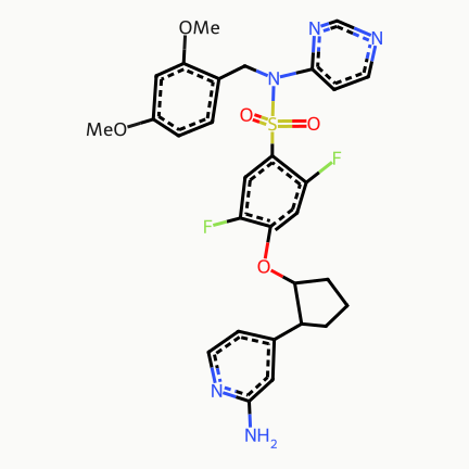 COc1ccc(CN(c2ccncn2)S(=O)(=O)c2cc(F)c(OC3CCCC3c3ccnc(N)c3)cc2F)c(OC)c1